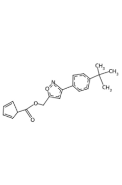 CC(C)(C)c1ccc(-c2cc(COC(=O)C3C=CC=C3)on2)cc1